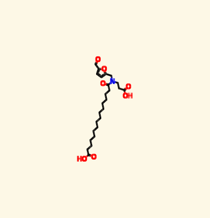 O=Cc1ccc(CN(CCC(=O)O)C(=O)CCCCCCCCCCCCCCC(=O)O)o1